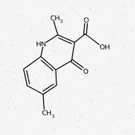 Cc1ccc2[nH]c(C)c(C(=O)O)c(=O)c2c1